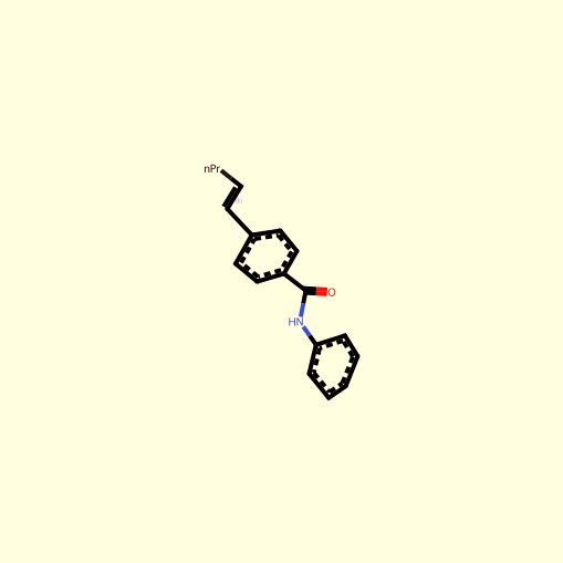 CCC/C=C/c1ccc(C(=O)Nc2ccccc2)cc1